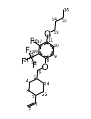 C=CC1CCC(COc2ccc(OCCCC)c(F)c2C(F)(F)F)CC1